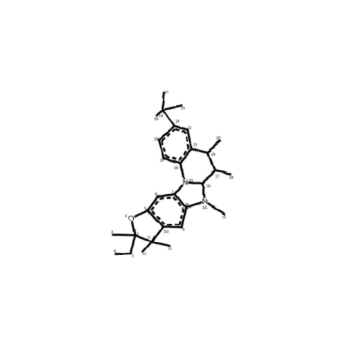 CCC1(C)Oc2cc3c(cc2C1(C)C)N(C)C1C(C)C(C)c2cc(C(C)(C)C)ccc2N31